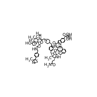 Cc1ncsc1-c1ccc(CNC(=O)[C@@H]2C[C@@H](O)CN2C(=O)[C@@H](NC(=O)CN2CCC(Cc3ccc(CO[C@H](C)[C@H](CCC(N)=O)NC(=O)[C@@H]4Cc5cccc6c5N4C(=O)[C@@H](NC(=O)c4cc5cc(C(=O)P(=O)(O)O)ccc5[nH]4)CC6)cc3)CC2)C(C)(C)C)cc1